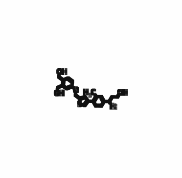 CCC(CCO)c1ccc(-c2csc(COc3ccc(CO)c(CO)c3)c2)c(C)c1